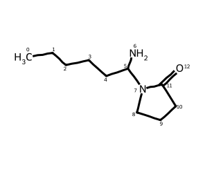 CCCCCC(N)N1CCCC1=O